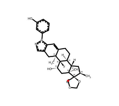 C[C@@H]1C[C@H]2[C@@H]3CCC4=Cc5c(cnn5-c5cccc(O)c5)C[C@]4(C)[C@@]3(F)[C@@H](O)C[C@]2(C)[C@]12OCOC21COCO1